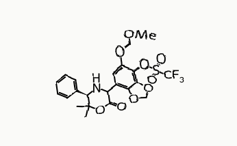 COCOc1cc(C2N[C@H](c3ccccc3)C(C)(C)OC2=O)c2c(c1OS(=O)(=O)C(F)(F)F)OCO2